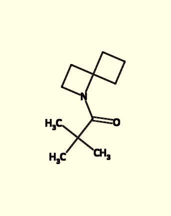 CC(C)(C)C(=O)N1CCC12CCC2